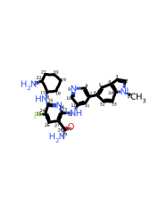 Cn1ccc2cc(-c3cncc(Nc4nc(NC5CCCCC5N)c(F)cc4C(N)=O)c3)ccc21